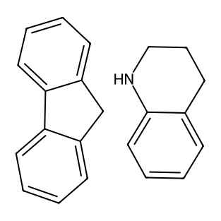 c1ccc2c(c1)CCCN2.c1ccc2c(c1)Cc1ccccc1-2